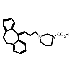 O=C(O)[C@@H]1CCCN(CCC=C2c3ccccc3CCc3ccccc32)C1